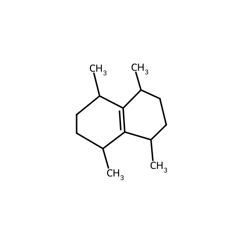 CC1CCC(C)C2=C1C(C)CCC2C